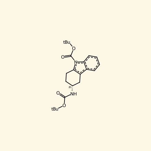 CC(C)(C)OC(=O)N[C@@H]1CCc2c(c3ccccc3n2C(=O)OC(C)(C)C)C1